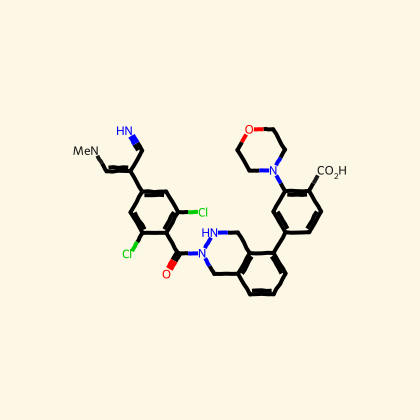 CN/C=C(\C=N)c1cc(Cl)c(C(=O)N2Cc3cccc(-c4ccc(C(=O)O)c(N5CCOCC5)c4)c3CN2)c(Cl)c1